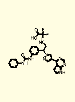 N#CCC(c1cccc(NC(=O)Nc2ccccc2)c1)n1cc(-c2ncnc3[nH]ccc23)cn1.O=C(O)C(F)(F)F